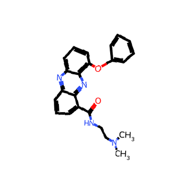 CN(C)CCNC(=O)c1cccc2nc3cccc(Oc4ccccc4)c3nc12